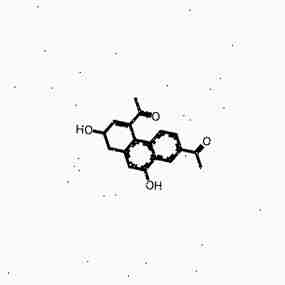 CC(=O)C1=CC(O)Cc2cc(O)c3cc(C(C)=O)ccc3c21